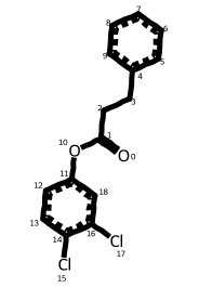 O=C(CCc1ccccc1)Oc1ccc(Cl)c(Cl)c1